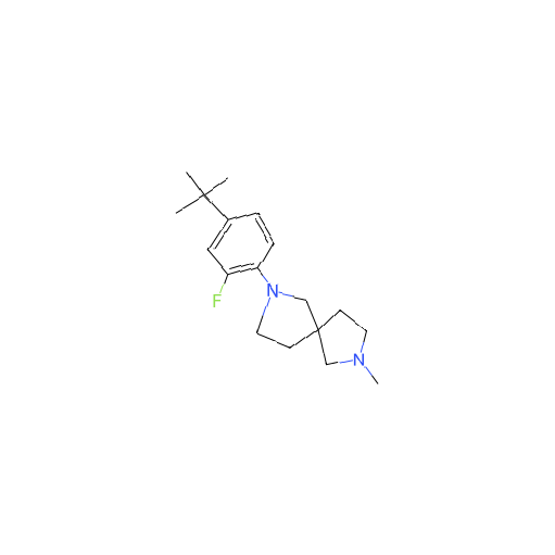 CN1CCC2(CCN(c3ccc(C(C)(C)C)cc3F)C2)C1